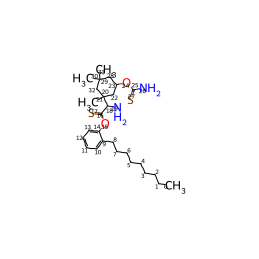 CCCCCCCCCc1ccccc1OC(=S)C(N)C1(C)CC(OC(N)=S)CC(C)(C)C1